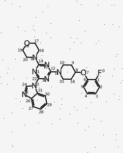 Fc1ccccc1OC1CCN(c2nc(N3CCOCC3)nc(-n3cnc4ccccc43)n2)CC1